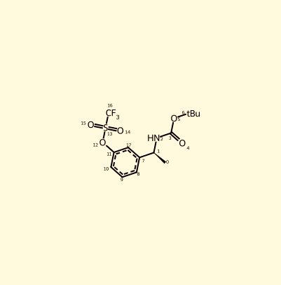 C[C@H](NC(=O)OC(C)(C)C)c1cccc(OS(=O)(=O)C(F)(F)F)c1